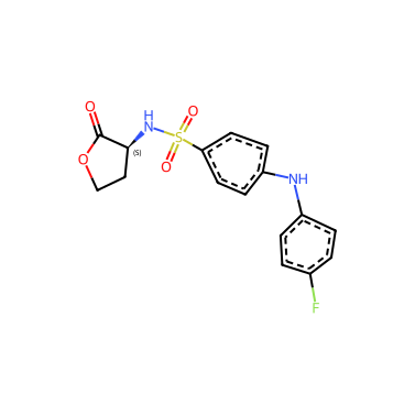 O=C1OCC[C@@H]1NS(=O)(=O)c1ccc(Nc2ccc(F)cc2)cc1